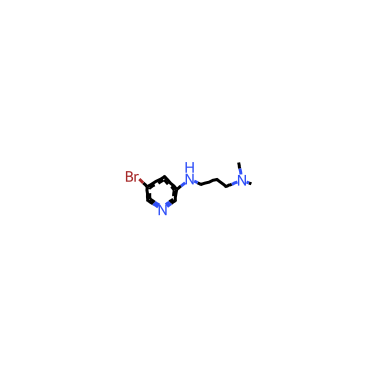 CN(C)CCCNc1cncc(Br)c1